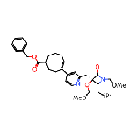 COCO[C@@]1(Cc2cc(/C3=C/CCCC(C(=O)OCc4ccccc4)CC3)ccn2)C(=O)N(COC)[C@H]1CC(C)C